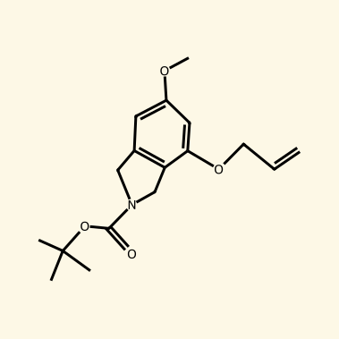 C=CCOc1cc(OC)cc2c1CN(C(=O)OC(C)(C)C)C2